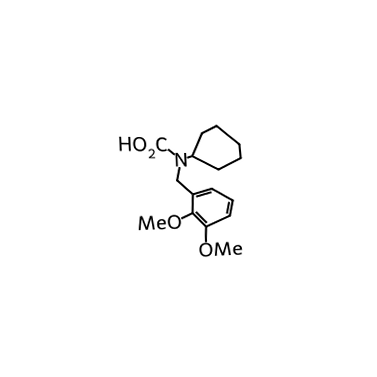 COc1cccc(CN(C(=O)O)C2CCCCC2)c1OC